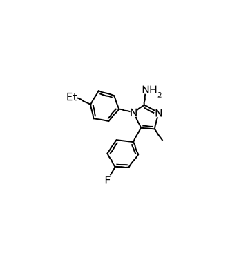 [CH2]Cc1ccc(-n2c(N)nc(C)c2-c2ccc(F)cc2)cc1